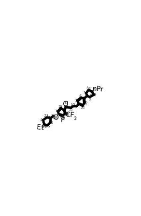 CCCC1CCC(c2ccc(CCCC(=O)c3ccc(OCC4CCC(CC)CC4)c(F)c3C(F)(F)F)cc2)CC1